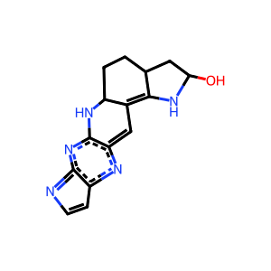 OC1CC2CCC3Nc4nc5c(nc4=CC3=C2N1)C=CN=5